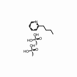 CCCCc1ccccn1.O=P(O)(O)F.O=P(O)(O)F